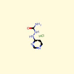 Cl.NC(=O)NNc1ccncn1